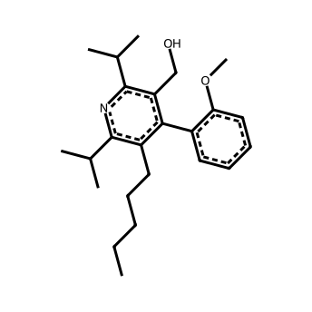 CCCCCc1c(C(C)C)nc(C(C)C)c(CO)c1-c1ccccc1OC